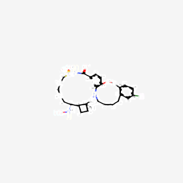 O=C1NS(=O)(=O)CCCCC[C@H](NO)[C@@H]2CC[C@H]2CN2CCCCc3cc(Cl)ccc3COc3ccc1cc32